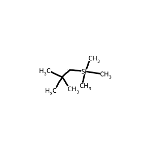 CC(C)(C)[CH][Si](C)(C)C